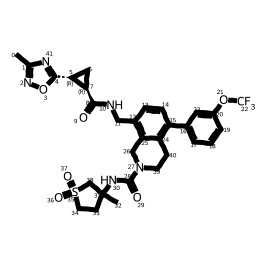 Cc1noc([C@@H]2C[C@H]2C(=O)NCc2ccc(-c3cccc(OC(F)(F)F)c3)c3c2CN(C(=O)NC2(C)CCS(=O)(=O)C2)CC3)n1